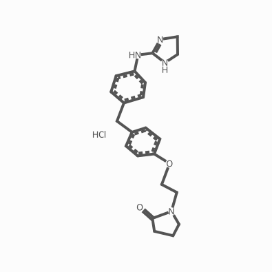 Cl.O=C1CCCN1CCOc1ccc(Cc2ccc(NC3=NCCN3)cc2)cc1